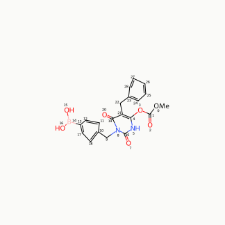 COC(=O)Oc1[nH]c(=O)n(Cc2ccc(B(O)O)cc2)c(=O)c1Cc1ccccc1